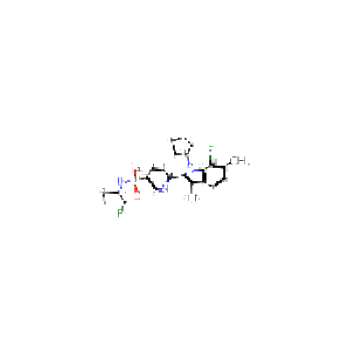 Cc1ccc2c(C#N)c(-c3ccc(S(=O)(=O)NC(CF)CF)cn3)n(C3CCCC3)c2c1F